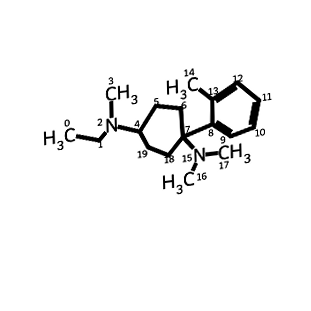 CCN(C)C1CCC(c2ccccc2C)(N(C)C)CC1